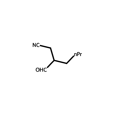 CCCCC(C=O)CC#N